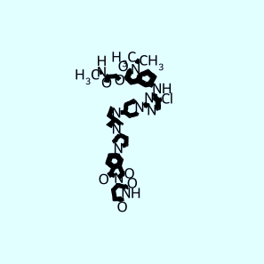 CNC(=O)COc1cc2cc(Nc3nc(N4CCC(N5CCC56CN(C5CCN(c7ccc8c(c7)C(=O)N(C7CCC(=O)NC7=O)C8=O)C5)C6)CC4)ncc3Cl)ccc2n(C(C)C)c1=O